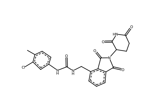 Cc1ccc(NC(=O)NCc2cccc3c2C(=O)N(C2CCC(=O)NC2=O)C3=O)cc1Cl